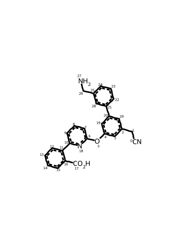 N#CCc1cc(Oc2cccc(-c3ccccc3C(=O)O)n2)cc(-c2cccc(CN)c2)c1